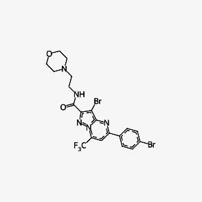 O=C(NCCN1CCOCC1)c1nn2c(C(F)(F)F)cc(-c3ccc(Br)cc3)nc2c1Br